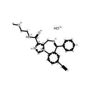 C#Cc1ccc2c(c1)C(c1ccccc1)=NCc1c(C(=O)NCCOC)ncn1-2.Cl